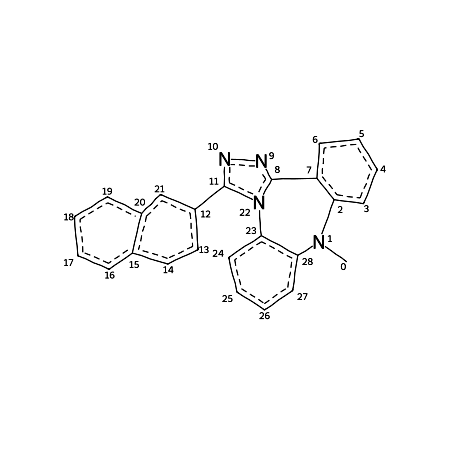 CN1c2ccccc2-c2nnc(-c3ccc4ccccc4c3)n2-c2ccccc21